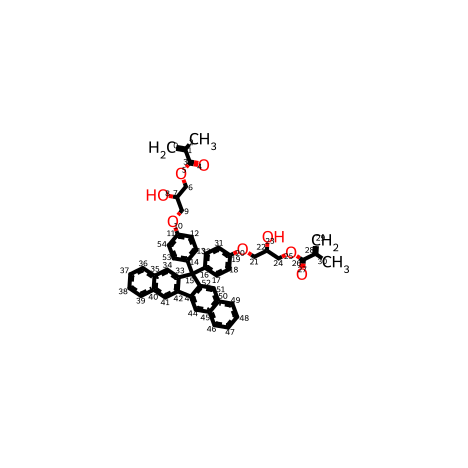 C=C(C)C(=O)OCC(O)COc1ccc(C2(c3ccc(OCC(O)COC(=O)C(=C)C)cc3)c3cc4ccccc4cc3-c3cc4ccccc4cc32)cc1